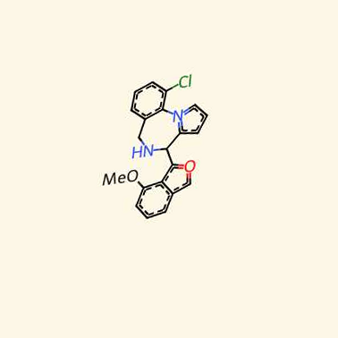 COc1cccc2coc(C3NCc4cccc(Cl)c4-n4cccc43)c12